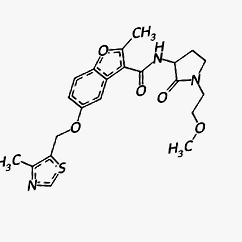 COCCN1CCC(NC(=O)c2c(C)oc3ccc(OCc4scnc4C)cc23)C1=O